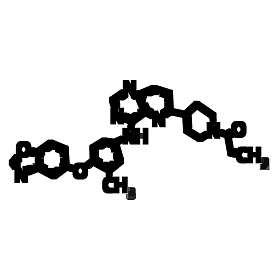 C=CC(=O)N1CC=C(c2ccc3ncnc(Nc4ccc(Oc5ccc6ocnc6c5)c(C)c4)c3n2)CC1